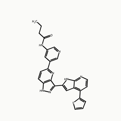 CCCC(=O)Nc1cncc(-c2ccc3[nH]nc(-c4cc5c(-c6cccs6)ccnc5[nH]4)c3n2)c1